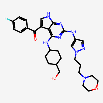 O=C(c1ccc(F)cc1)c1c[nH]c2nc(Nc3cnn(CCCN4CCOCC4)c3)nc(NC3CCC(CO)CC3)c12